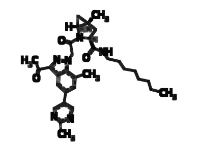 CCCCCCCCNC(=O)[C@@H]1C[C@@]2(C)C[C@H]2N1C(=O)Cn1nc(C(C)=O)c2cc(-c3cnc(C)nc3)cc(C)c21